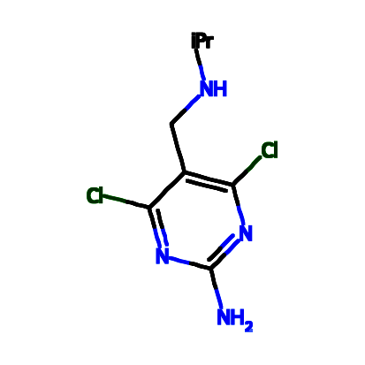 CC(C)NCc1c(Cl)nc(N)nc1Cl